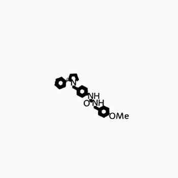 COc1ccc(CNC(=O)Nc2ccc(CN3CCC[C@H]3c3ccccc3)cc2)cc1